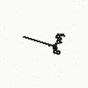 CCCCCCCCCCCCCCCCCCOCCOP(=O)(CO[C@H](COC)Cn1cnc2c(N)ncnc21)Oc1cccc2ccccc12